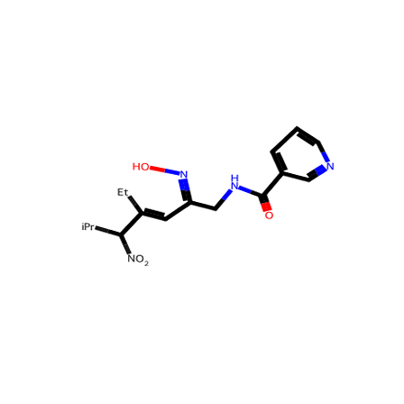 CCC(=CC(CNC(=O)c1cccnc1)=NO)C(C(C)C)[N+](=O)[O-]